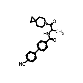 CC(NC(=O)c1ccc(-c2ccc(C#N)cc2)cc1)C(=O)N1CCC2(CC1)CC2